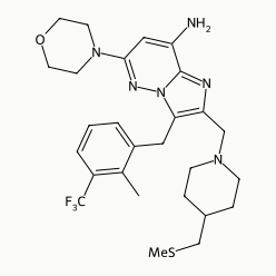 CSCC1CCN(Cc2nc3c(N)cc(N4CCOCC4)nn3c2Cc2cccc(C(F)(F)F)c2C)CC1